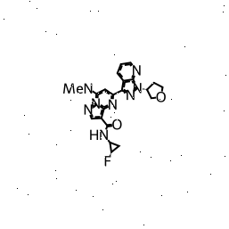 CNc1cc(-c2nn([C@@H]3CCOC3)c3ncccc23)nc2c(C(=O)NC3C[C@@H]3F)cnn12